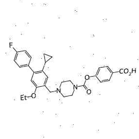 CCOc1cc(-c2ccc(F)cc2)c(C2CC2)cc1CN1CCN(C(=O)Oc2ccc(C(=O)O)cc2)CC1